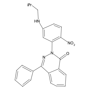 CC(C)CNc1ccc([N+](=O)[O-])c(-n2nc(-c3ccccc3)c3ccccc3c2=O)c1